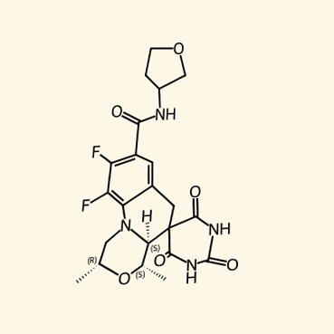 C[C@@H]1CN2c3c(cc(C(=O)NC4CCOC4)c(F)c3F)CC3(C(=O)NC(=O)NC3=O)[C@H]2[C@H](C)O1